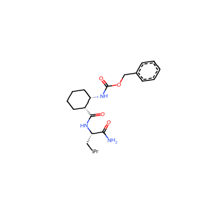 CC(C)C[C@H](NC(=O)[C@@H]1CCCC[C@@H]1NC(=O)OCc1ccccc1)C(N)=O